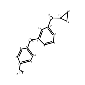 CC(C)c1ccc(Oc2cccc(OC3CC3)c2)cc1